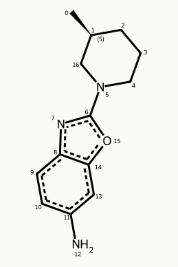 C[C@H]1CCCN(c2nc3ccc(N)cc3o2)C1